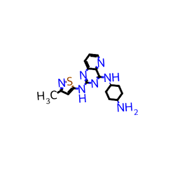 Cc1cc(Nc2nc(N[C@H]3CC[C@H](N)CC3)c3ncccc3n2)sn1